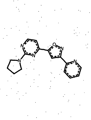 c1ccc(-c2cc(-c3ccnc(N4CCCC4)n3)on2)nc1